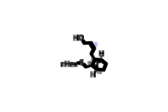 CCCCCCSC[C@H]1[C@@H](C/C=C\CO)[C@H]2CC[C@@H]1O2